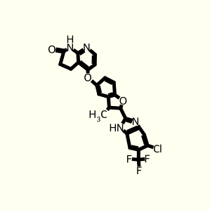 CC1c2cc(Oc3ccnc4c3CCC(=O)N4)ccc2OC1c1nc2cc(Cl)c(C(F)(F)F)cc2[nH]1